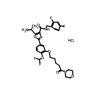 C[C@H](N)c1oc(-c2ccc(OC(F)F)c(OCCCCC(=O)N3CCOCC3)c2)nc1C(=O)NCc1ccc(F)cc1F.Cl